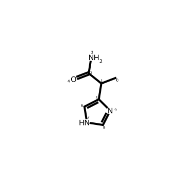 C[C](C(N)=O)c1c[nH]cn1